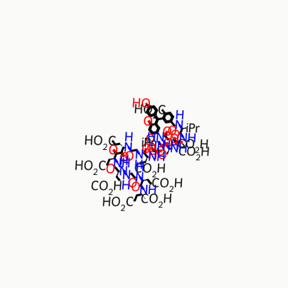 CC(C)[C@H](NC(=O)c1ccc(C(=O)O)c(-c2c3ccc(=O)cc-3oc3cc(O)ccc23)c1)C(=O)N[C@@H](CC(=O)O)C(=O)N[C@@H](CO)C(=O)C(=O)[C@@H](NC(=O)[C@H](CCC(=O)O)NNCC(=O)N[C@@H](CCC(=O)O)C(=O)NCC(=O)N[C@@H](CCC(=O)O)C(=O)C(=O)[C@H](CCC(=O)O)NC(=O)[C@H](CCC(=O)O)NNCC(=O)N[C@@H](CCC(=O)O)C(=O)N[C@@H](CCC(=O)O)C(=O)O)C(C)C